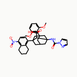 COc1cccc(OC)c1C12CC3CC(NC(=O)n4cccn4)(C1)C(C(=O)O)C(c1ccc([N+](=O)[O-])c4c1CCCC4)(C3)C2